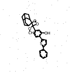 COC1(c2ccc(-c3ccc(-c4ccccc4)s3)c(O)c2)OOC12C1CC3CC(C1)CC2C3